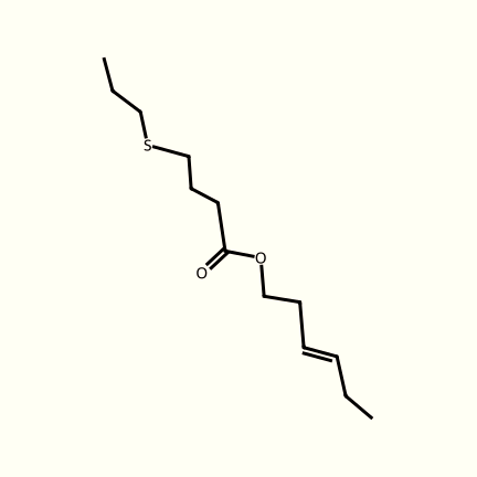 CCC=CCCOC(=O)CCCSCCC